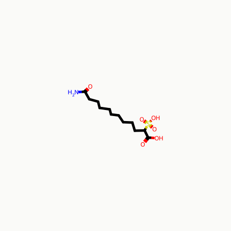 NC(=O)CCCCCCCCCC(C(=O)O)S(=O)(=O)O